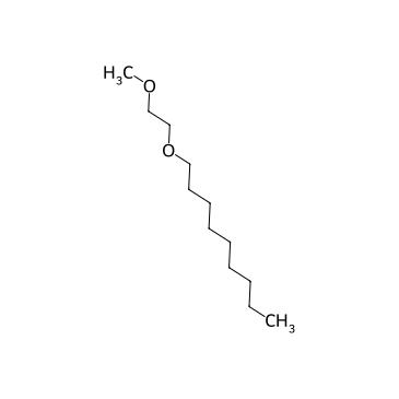 CCCCCCCCCOCCOC